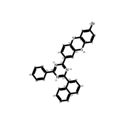 Brc1ccc2c(c1)Sc1ccc(-c3nc(-c4ccccc4)nc(-c4cccc5ccccc45)n3)cc1S2